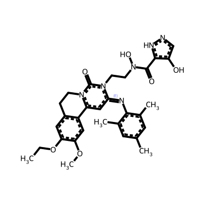 CCOc1cc2c(cc1OC)-c1c/c(=N\c3c(C)cc(C)cc3C)n(CCN(O)C(=O)c3[nH]ncc3O)c(=O)n1CC2